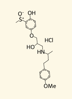 COc1ccc(CCC(C)NCC(O)COc2ccc(O)c([S+](C)[O-])c2)cc1.Cl